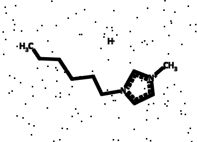 CCCCCCn1cc[n+](C)c1.[H]